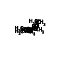 C=C(C)C1CCC(C)(OC(=O)CCC(=O)OC2(C)CCC(C(=C)C)CC2)CC1